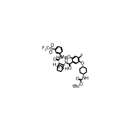 COc1cc(F)c(O[C@H]2CC[C@H](NC(=O)OC(C)(C)C)CC2)cc1C(=O)N[C@@H]1[C@H]2CC[C@H](C2)[C@@H]1C(=O)Nc1cccc(S(=O)(=O)C(F)(F)F)c1